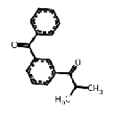 CC(C)C(=O)c1cccc(C(=O)c2ccccc2)c1